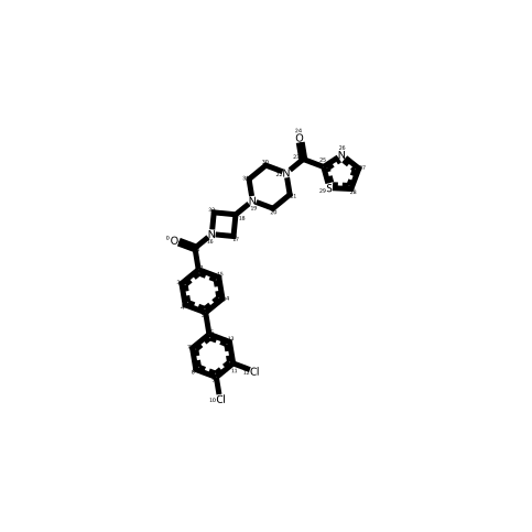 O=C(c1ccc(-c2ccc(Cl)c(Cl)c2)cc1)N1CC(N2CCN(C(=O)c3nccs3)CC2)C1